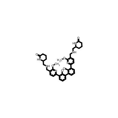 COc1nc(-c2cccc(-c3cccc(-c4ccc(CNCC5CCCC(=O)N5)c(OC)n4)c3Cl)c2Cl)ccc1CNCC1CCCC(=O)N1